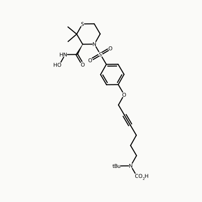 CC1(C)SCCN(S(=O)(=O)c2ccc(OCC#CCCCN(C(=O)O)C(C)(C)C)cc2)[C@H]1C(=O)NO